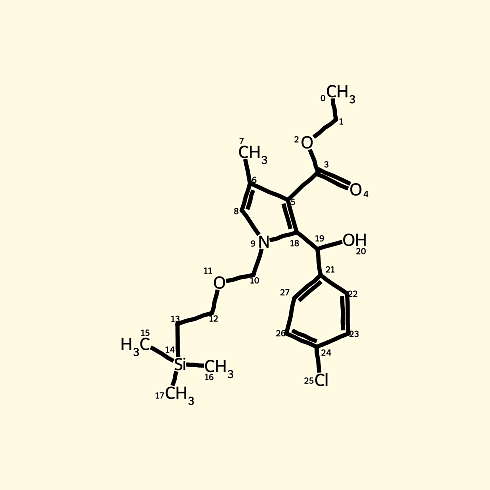 CCOC(=O)c1c(C)cn(COCC[Si](C)(C)C)c1C(O)c1ccc(Cl)cc1